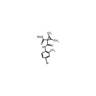 COC(=O)C1(C(=O)Nc2ccc(Br)cc2C)C(C)=C1C